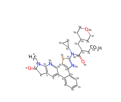 CN1C(=O)Cc2cc(-c3ccccc3-c3csc(N(C(=O)C(CC(=O)O)CC4CCOCC4)C4CC4)n3)cnc21